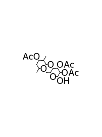 CC(=O)OC1CC(C)OC(OC2C(C)OC(O)C(OC(C)=O)C2OC(C)=O)C1C